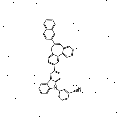 N#Cc1cccc(-n2c3ccccc3c3cc(-c4ccc5c(c4)-c4ccccc4C=C(c4ccc6ccccc6c4)C5)ccc32)c1